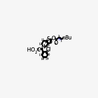 CCCC/C=C/C(=O)Oc1cc2c(s1)CCN([C@H](C(=O)O)c1ccccc1Cl)C2